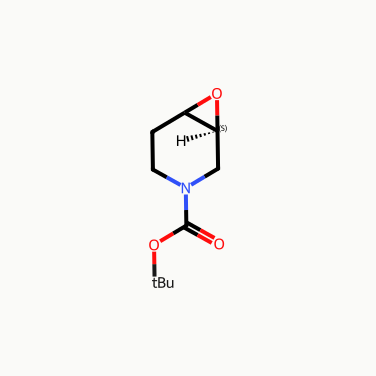 CC(C)(C)OC(=O)N1CCC2O[C@H]2C1